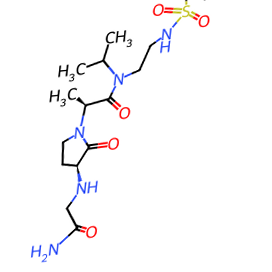 CC(C)N(CCNS(C)(=O)=O)C(=O)[C@H](C)N1CC[C@H](NCC(N)=O)C1=O